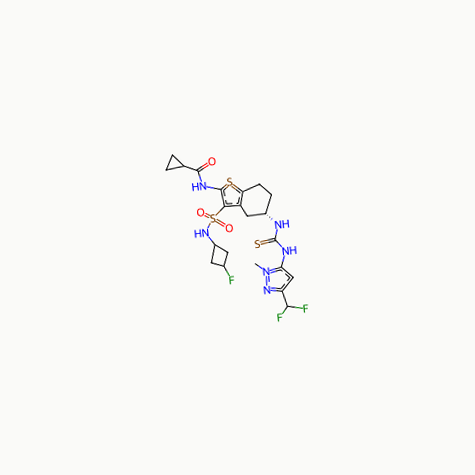 Cn1nc(C(F)F)cc1NC(=S)N[C@H]1CCc2sc(NC(=O)C3CC3)c(S(=O)(=O)NC3CC(F)C3)c2C1